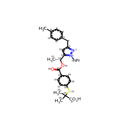 CCCn1nc(Cc2ccc(C)cc2)cc1[C@@H](C)OC(=O)c1ccc(SC(C)(C)C(=O)O)cc1